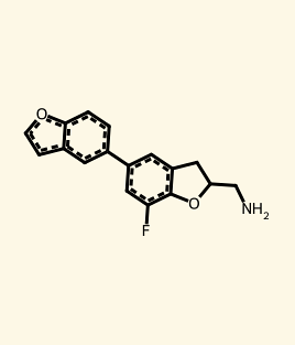 NCC1Cc2cc(-c3ccc4occc4c3)cc(F)c2O1